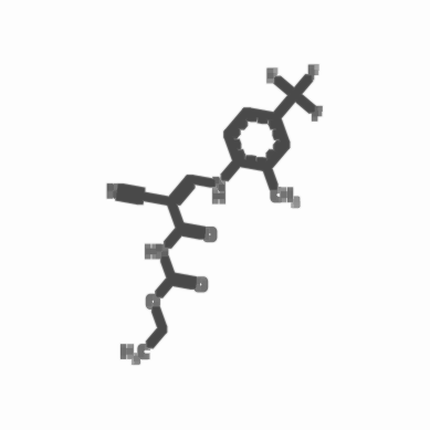 CCOC(=O)NC(=O)/C(C#N)=C\Nc1ccc(C(F)(F)F)cc1C